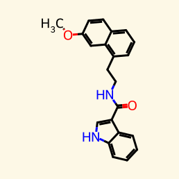 COc1ccc2cccc(CCNC(=O)c3c[nH]c4ccccc34)c2c1